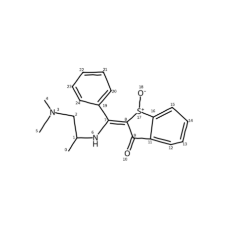 CC(CN(C)C)N/C(=C1\C(=O)c2ccccc2[S+]1[O-])c1ccccc1